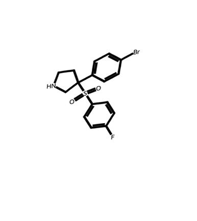 O=S(=O)(c1ccc(F)cc1)C1(c2ccc(Br)cc2)CCNC1